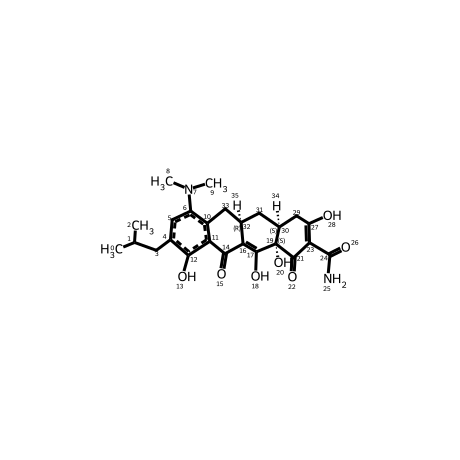 CC(C)Cc1cc(N(C)C)c2c(c1O)C(=O)C1=C(O)[C@]3(O)C(=O)C(C(N)=O)=C(O)C[C@@H]3C[C@@H]1C2